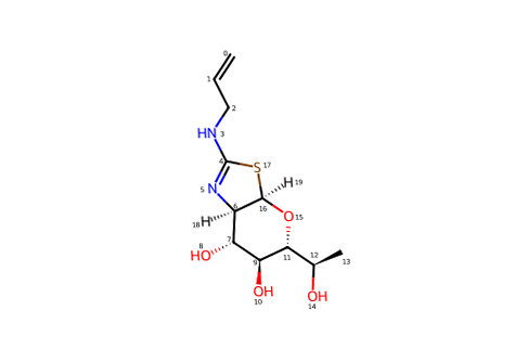 C=CCNC1=N[C@@H]2[C@@H](O)[C@H](O)[C@@H]([C@@H](C)O)O[C@@H]2S1